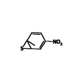 CC12C=CC([N+](=O)[O-])=CC1S2